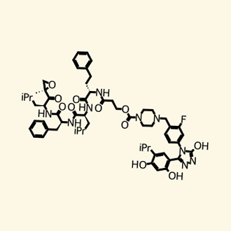 CC(C)C[C@H](NC(=O)[C@H](CCc1ccccc1)NC(=O)CCOC(=O)N1CCN(Cc2ccc(-n3c(O)nnc3-c3cc(C(C)C)c(O)cc3O)cc2F)CC1)C(=O)N[C@@H](Cc1ccccc1)C(=O)N[C@@H](CC(C)C)C(=O)[C@@]1(C)CO1